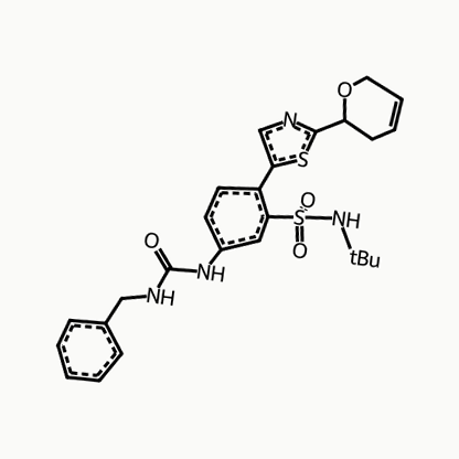 CC(C)(C)NS(=O)(=O)c1cc(NC(=O)NCc2ccccc2)ccc1-c1cnc(C2CC=CCO2)s1